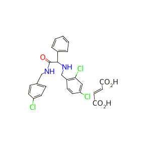 O=C(NCc1ccc(Cl)cc1)C(NCc1ccc(Cl)cc1Cl)c1ccccc1.O=C(O)/C=C/C(=O)O